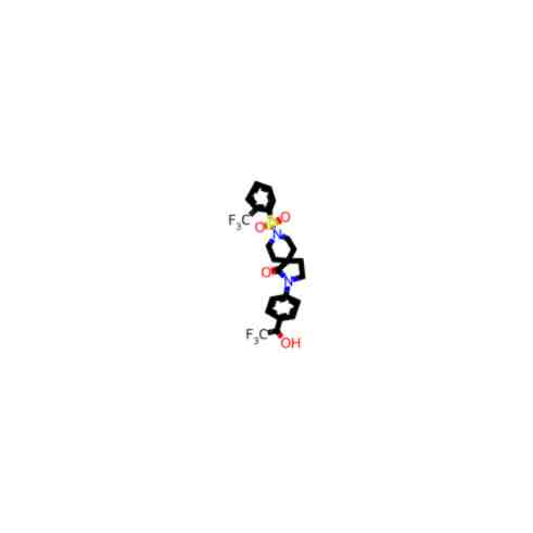 O=C1N(c2ccc(C(O)C(F)(F)F)cc2)CCC12CCN(S(=O)(=O)c1ccccc1C(F)(F)F)CC2